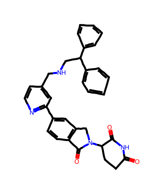 O=C1CCC(N2Cc3cc(-c4cc(CNCC(c5ccccc5)c5ccccc5)ccn4)ccc3C2=O)C(=O)N1